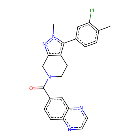 Cc1ccc(-c2c3c(nn2C)CN(C(=O)c2ccc4nccnc4c2)CC3)cc1Cl